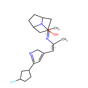 CC(=C/C1=CC(C2CCC(F)C2)=NC1)/N=C(\C)N1C2CCC1CC(O)C2